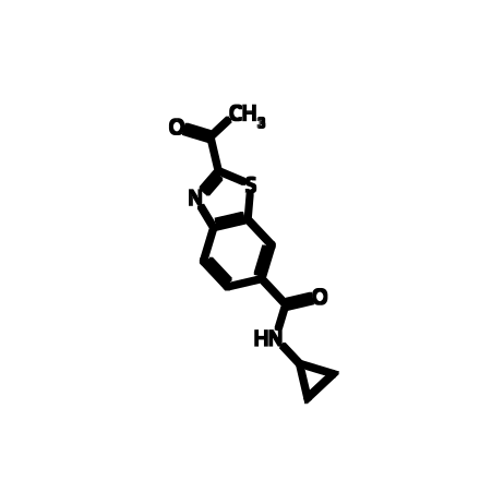 CC(=O)c1nc2ccc(C(=O)NC3CC3)cc2s1